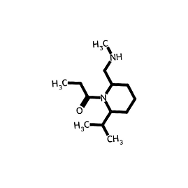 CCC(=O)N1C(CNC)CCCC1C(C)C